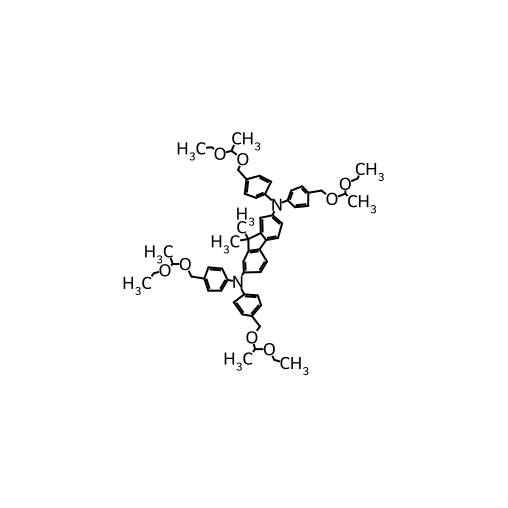 CCOC(C)OCc1ccc(N(c2ccc(COC(C)OCC)cc2)c2ccc3c(c2)C(C)(C)c2cc(N(c4ccc(COC(C)OCC)cc4)c4ccc(COC(C)OCC)cc4)ccc2-3)cc1